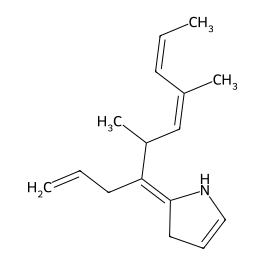 C=CC/C(=C1\CC=CN1)C(C)/C=C(C)\C=C/C